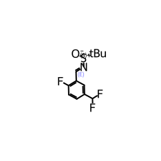 CC(C)(C)[S@@+]([O-])/N=C/c1cc(C(F)F)ccc1F